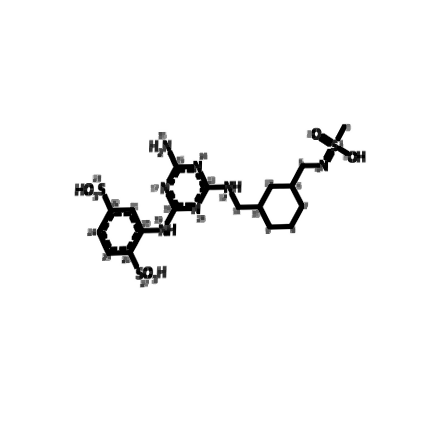 CS(=O)(O)=NCC1CCCC(CNc2nc(N)nc(Nc3cc(S(=O)(=O)O)ccc3S(=O)(=O)O)n2)C1